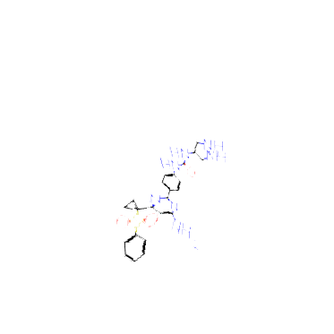 Nc1cc(C2(S(=O)(=O)c3ccccc3)CC2)nc(-c2ccc(NC(=O)NC3CNNC3)cc2)n1